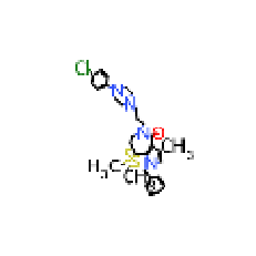 CCSC1(SCC)CCN(CCCN2CCN(c3ccc(Cl)cc3)CC2)C(=O)c2c(C)cn(Cc3ccccc3)c21